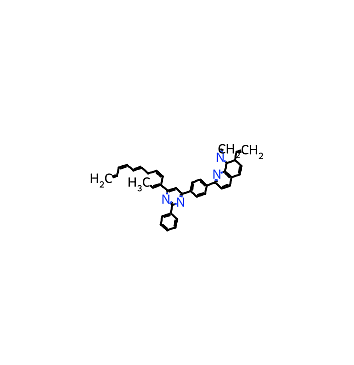 C=C/C=C\C=C\C/C=C\C(=C/C)c1cc(-c2ccc(-c3ccc4c(n3)C(N=C)C(C=C)C=C4)cc2)nc(-c2ccccc2)n1